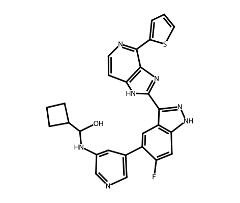 OC(Nc1cncc(-c2cc3c(-c4nc5c(-c6cccs6)nccc5[nH]4)n[nH]c3cc2F)c1)C1CCC1